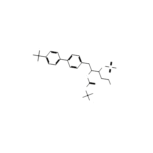 CCCC(OS(C)(=O)=O)C(Cc1ccc(-c2ccc(C(F)(F)F)cc2)cc1)NC(=O)OC(C)(C)C